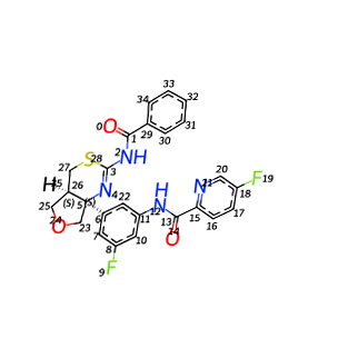 O=C(NC1=N[C@@]2(c3cc(F)cc(NC(=O)c4ccc(F)cn4)c3)COC[C@H]2CS1)c1ccccc1